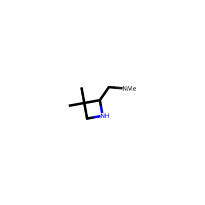 CNCC1NCC1(C)C